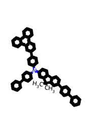 CC1(C)c2cc(-c3ccc(-c4ccccc4)cc3)ccc2-c2ccc(N(c3ccc(-c4ccccc4)cc3)c3ccc(-c4ccc5c6ccccc6c6ccccc6c5c4)cc3)cc21